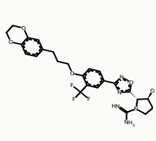 N=C(N)N1CC[C@H](O)[C@H]1c1nc(-c2ccc(OCCCc3ccc4c(c3)OCCO4)c(C(F)(F)F)c2)no1